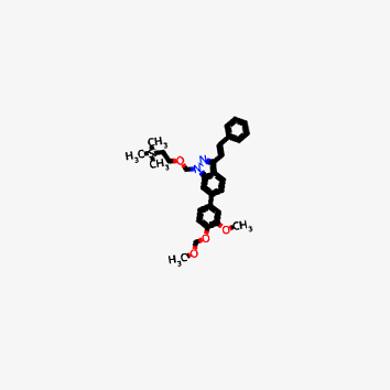 COCOc1ccc(-c2ccc3c(C=Cc4ccccc4)nn(COCC[Si](C)(C)C)c3c2)cc1OC